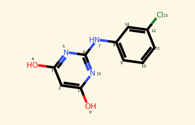 Oc1cc(O)nc(Nc2cccc(Cl)c2)n1